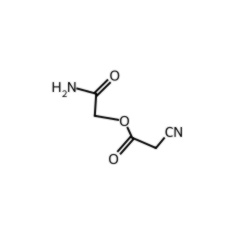 N#CCC(=O)OCC(N)=O